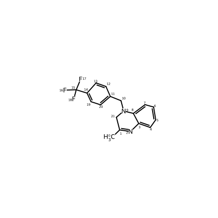 CC1=Nc2ccccc2N(Cc2ccc(C(F)(F)F)cc2)C1